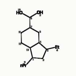 CCCC1CC(CC)C2CC(C(O)O)CCC12